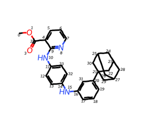 COC(=O)c1cccnc1Nc1ccc(Nc2cccc(C34CC5CC(CC(C5)C3)C4)c2)cc1